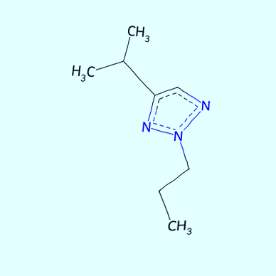 CCCn1ncc(C(C)C)n1